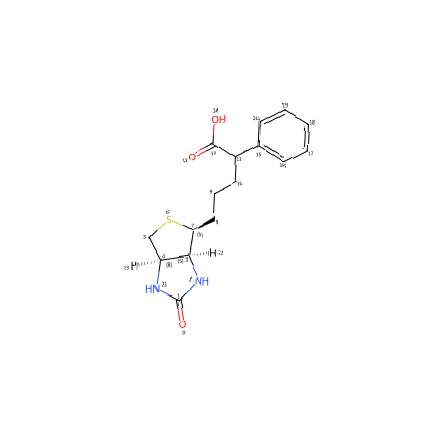 O=C1N[C@H]2[C@H](CS[C@H]2CCCC(C(=O)O)c2ccccc2)N1